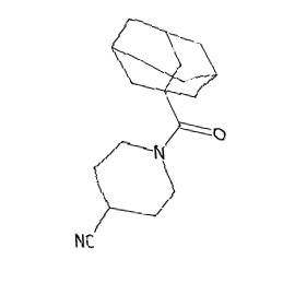 N#CC1CCN(C(=O)C23CC4CC(CC(C4)C2)C3)CC1